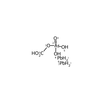 O=C(O)O[As](=O)(O)O.[PbH2].[PbH2]